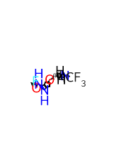 O=C(Nc1c[nH]c2ccc(OCC[C@@H]3C[C@@H]4CN(CC(F)(F)F)C[C@@H]4C3)cc12)C1(F)CC1